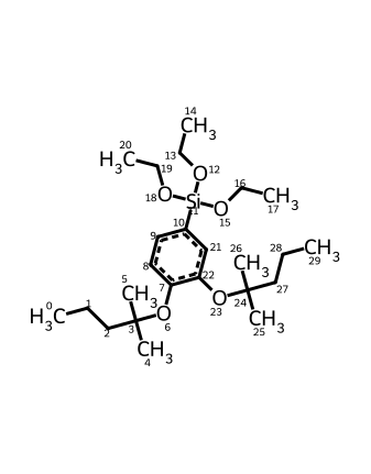 CCCC(C)(C)Oc1ccc([Si](OCC)(OCC)OCC)cc1OC(C)(C)CCC